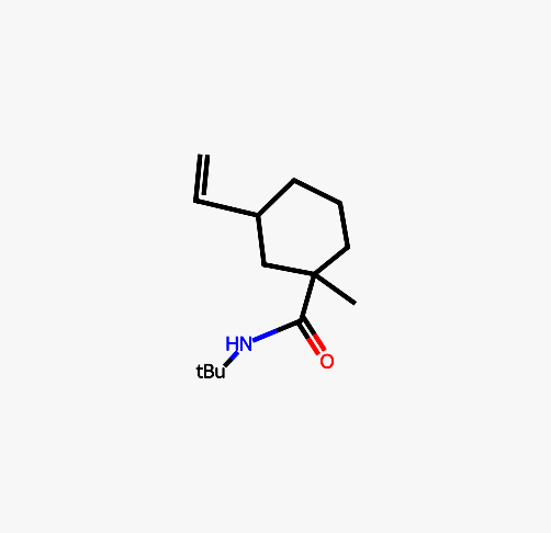 C=CC1CCCC(C)(C(=O)NC(C)(C)C)C1